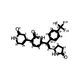 O=C1CC(c2ccc(/C(=C/[C@H]3CCC(=O)N3)c3ccc(C(F)(F)F)cc3)[nH]c2=O)=CCN1